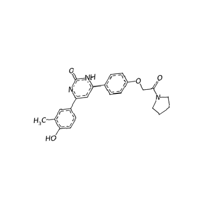 Cc1cc(-c2cc(-c3ccc(OCC(=O)N4CCCC4)cc3)[nH]c(=O)n2)ccc1O